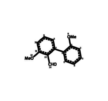 COc1ccccc1-c1cccc(OC)c1C=O